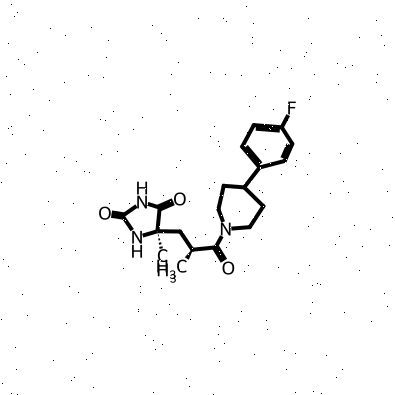 C[C@@H](C[C@@]1(C)NC(=O)NC1=O)C(=O)N1CCC(c2ccc(F)cc2)CC1